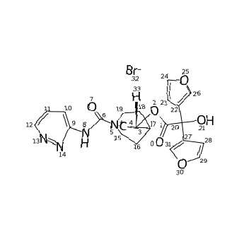 O=C(O[C@H]1C[N+]2(C(=O)Nc3cccnn3)CCC1CC2)C(O)(c1ccoc1)c1ccoc1.[Br-]